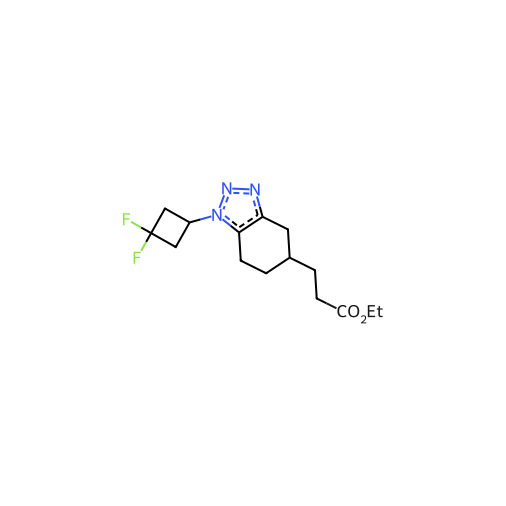 CCOC(=O)CCC1CCc2c(nnn2C2CC(F)(F)C2)C1